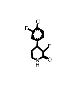 O=C1NCCC(c2ccc(Cl)c(F)c2)C1F